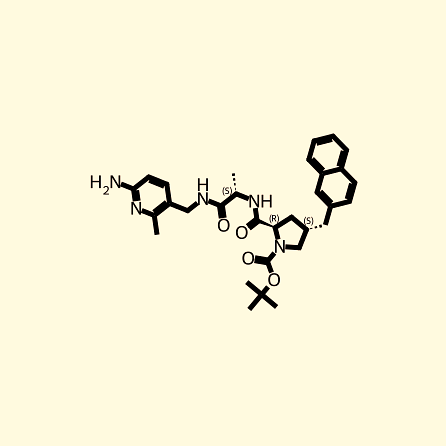 Cc1nc(N)ccc1CNC(=O)[C@H](C)NC(=O)[C@H]1C[C@H](Cc2ccc3ccccc3c2)CN1C(=O)OC(C)(C)C